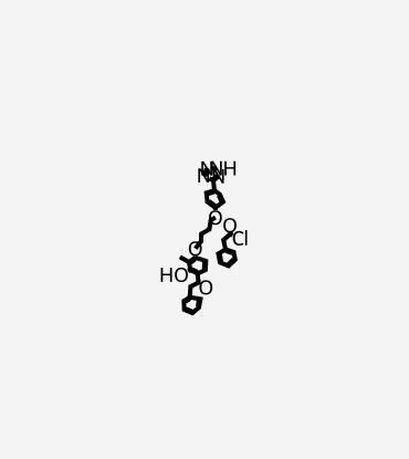 Cc1c(OCCCCOc2ccc(-c3nn[nH]n3)cc2)ccc(C(=O)Cc2ccccc2)c1O.O=C(Cl)Cc1ccccc1